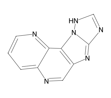 c1cnc2c(c1)ncc1nc3nc[nH]n3c12